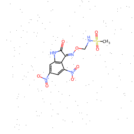 CS(=O)(=O)NCO/N=C1\C(=O)Nc2cc([N+](=O)[O-])cc([N+](=O)[O-])c21